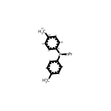 CCCP(c1ccc(C)cc1)c1ccc(C)cc1